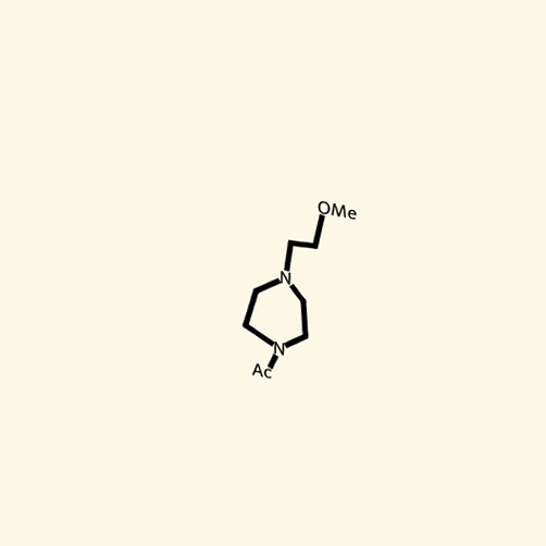 COCCN1CCN(C(C)=O)CC1